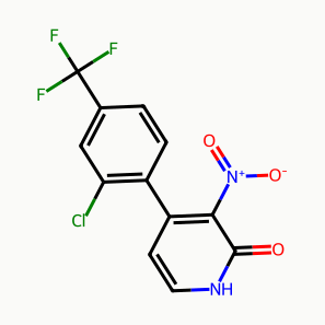 O=c1[nH]ccc(-c2ccc(C(F)(F)F)cc2Cl)c1[N+](=O)[O-]